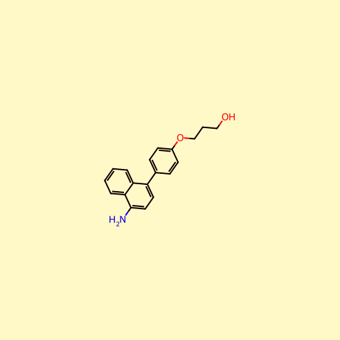 Nc1ccc(-c2ccc(OCCCO)cc2)c2ccccc12